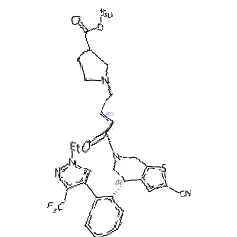 CCn1cc(-c2ccccc2[C@@H]2CN(C(=O)/C=C/CN3CCC(C(=O)OC(C)(C)C)C3)Cc3sc(C#N)cc32)c(C(F)(F)F)n1